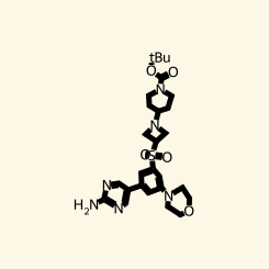 CC(C)(C)OC(=O)N1CCC(N2CC(S(=O)(=O)c3cc(-c4cnc(N)nc4)cc(N4CCOCC4)c3)C2)CC1